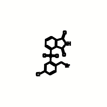 O=C1NC(=O)c2c1cccc2S(=O)(=O)c1cc(Cl)ccc1CBr